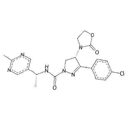 Cc1ncc([C@@H](C)NC(=O)N2C[C@H](N3CCOC3=O)C(c3ccc(Cl)cc3)=N2)cn1